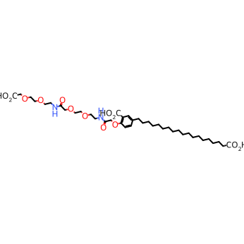 O=C(O)CCCCCCCCCCCCCCCCCCc1ccc(OCC(=O)NCCOCCOCC(=O)NCCOCCOCC(=O)O)c(C(=O)O)c1